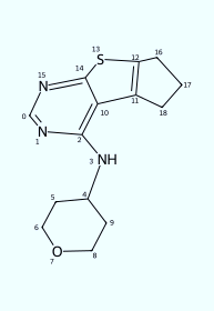 c1nc(NC2CCOCC2)c2c3c(sc2n1)CCC3